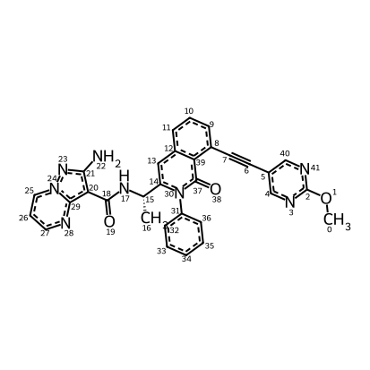 COc1ncc(C#Cc2cccc3cc([C@H](C)NC(=O)c4c(N)nn5cccnc45)n(-c4ccccc4)c(=O)c23)cn1